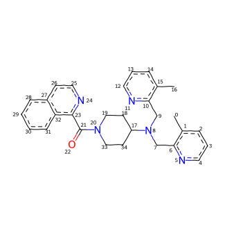 Cc1cccnc1CN(Cc1ncccc1C)C1CCN(C(=O)c2nccc3ccccc23)CC1